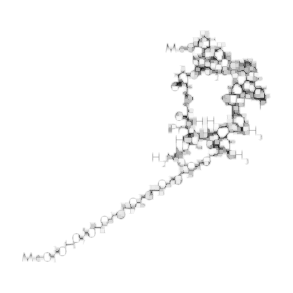 COCCOCCOCCOCCOCCOCCOCCOCCOCCOCCOCCOCCC(=O)N(C)Cc1cc(NC(=O)[C@H](CCCNC(N)=O)NC(=O)[C@@H](NC(=O)CCOCCN2C(=O)C=CC2=O)C(C)C)ccc1C[N+]1(C)CCN(CCOc2ccc(-c3c(-c4ccc(F)cc4)sc4ncnc(O[C@H](Cc5ccccc5OCc5ccnc(-c6ccccc6OC)n5)C(=O)O)c34)c(C)c2Cl)CC1